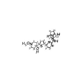 CN1CCC(O)(c2ccc(-c3ccnc(N[C@H]4C[C@H]5CC[C@@H](C4)N5)n3)s2)CC1